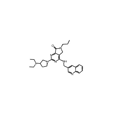 CCCN1Cc2c(NCc3cnc4ccccc4c3)nc(N3CCC(N(CC)CC)C3)nc2C1=O